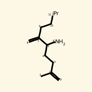 C=C(C)CCC(N)C(=C)CCC(C)C